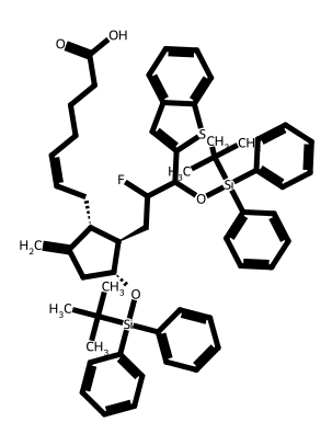 C=C1C[C@@H](O[Si](c2ccccc2)(c2ccccc2)C(C)(C)C)[C@H](CC(F)C(O[Si](c2ccccc2)(c2ccccc2)C(C)(C)C)c2cc3ccccc3s2)[C@H]1C/C=C\CCCC(=O)O